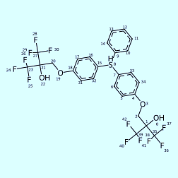 OC(COc1ccc([SH](c2ccccc2)c2ccc(OCC(O)(C(F)(F)F)C(F)(F)F)cc2)cc1)(C(F)(F)F)C(F)(F)F